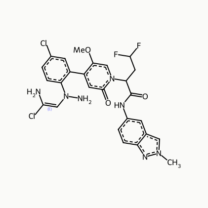 COc1cn(C(CC(F)F)C(=O)Nc2ccc3nn(C)cc3c2)c(=O)cc1-c1cc(Cl)ccc1N(N)/C=C(\N)Cl